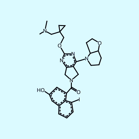 CN(C)CC1(COc2nc3c(c(N4CCCC5OCCC54)n2)CN(C(=O)c2cc(O)cc4cccc(I)c24)C3)CC1